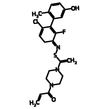 C=CC(=O)N1CCN(C(=C)S/N=C2\CC=C(Cl)C(c3cc(O)ccc3C)=C2F)CC1